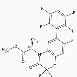 COC(=O)[C@@H](C)N1C(=O)C(F)(F)Oc2cc(F)c(-c3c(F)c(F)cc(F)c3F)cc21